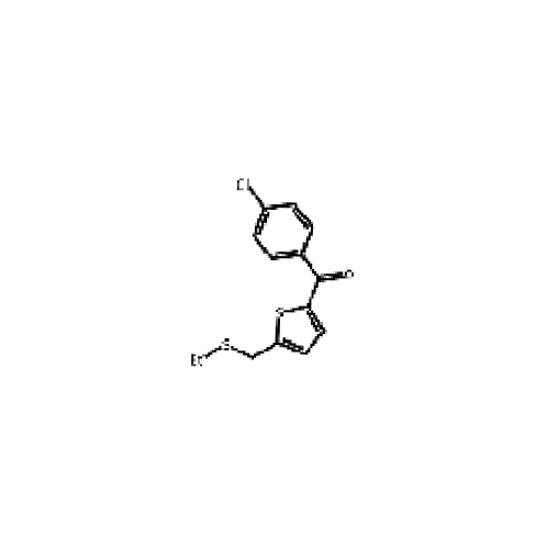 CCSCc1ccc(C(=O)c2ccc(Cl)cc2)s1